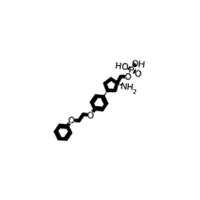 N[C@@]1(COP(=O)(O)O)CC[C@@H](c2ccc(OCCOc3ccccc3)cc2)C1